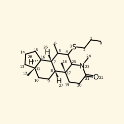 CCCSC1C(C)[C@@H]2[C@@H](CC[C@]3(C)CCC[C@@H]23)[C@@]2(C)CCC(=O)N(C)C12